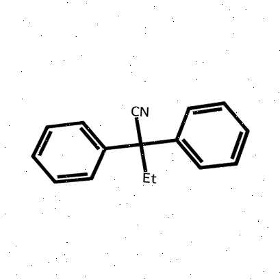 [CH2]CC(C#N)(c1ccccc1)c1ccccc1